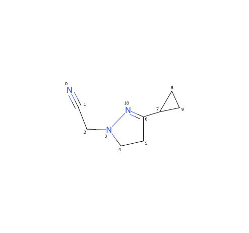 N#CCN1CCC(C2CC2)=N1